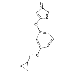 c1cc(OCC2CC2)cc(Oc2c[nH]nn2)c1